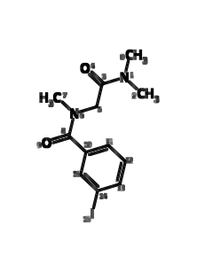 CN(C)C(=O)CN(C)C(=O)c1cccc(I)c1